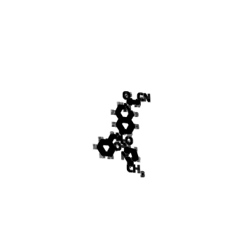 Cn1ccc(S(=O)(=O)N(Cc2ccccc2)c2ccc3c(c2)CCN(C(=O)CC#N)C3)n1